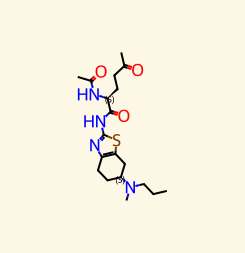 CCCN(C)[C@H]1CCc2nc(NC(=O)[C@H](CCC(C)=O)NC(C)=O)sc2C1